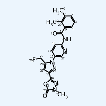 Cc1cccc(C(=O)Nc2ccc(-n3nc(-c4nn(C)c(=O)o4)cc3CF)cn2)c1C